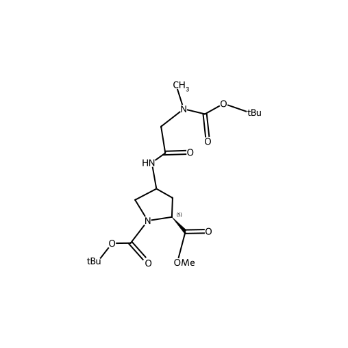 COC(=O)[C@@H]1CC(NC(=O)CN(C)C(=O)OC(C)(C)C)CN1C(=O)OC(C)(C)C